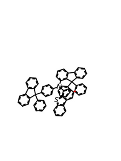 c1ccc(C2(c3ccc(N(c4cccc5c4C(c4ccccc4)(c4ccccc4)c4ccccc4-5)c4cccc5c4sc4ccccc45)cc3)c3ccccc3-c3ccccc32)cc1